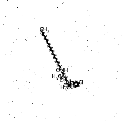 CCC=CCC=CCC=CCC=CCC=CCC=CCCC(=O)NCCN(CCNC(=O)C(C)(C)Oc1ccc(Cl)cc1)C(C)=O